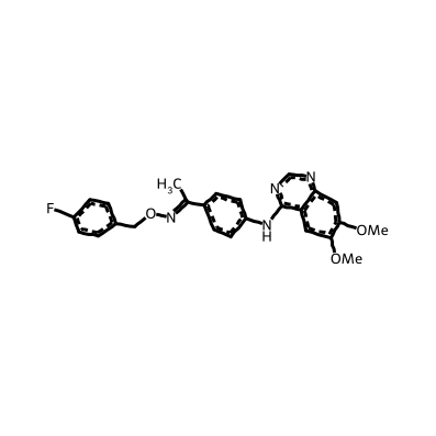 COc1cc2ncnc(Nc3ccc(C(C)=NOCc4ccc(F)cc4)cc3)c2cc1OC